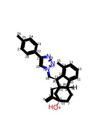 C=C1C[C@]23C[C@@]1(O)CC[C@H]2c1cccc(C)c1[C@@H]3Cn1cc(-c2ccc(C)cc2)nn1